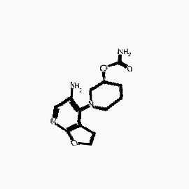 NC(=O)O[C@H]1CCCN(c2c(N)cnc3c2CCO3)C1